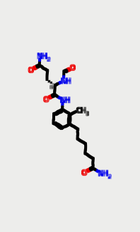 Cc1c(CCCCCC(N)=O)cccc1NC(=O)[C@H](CCC(N)=O)NC=O